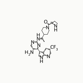 C[C@@H](Nc1ncc(N)c(-c2c[nH]c3ncc(C(F)(F)F)cc23)n1)C1CCN(C(=O)[C@H]2CCN2)CC1